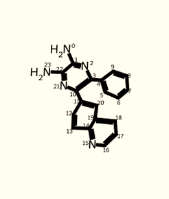 Nc1nc(-c2ccccc2)c(-c2ccc3ncccc3c2)nc1N